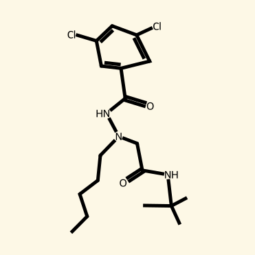 CCCCCN(CC(=O)NC(C)(C)C)NC(=O)c1cc(Cl)cc(Cl)c1